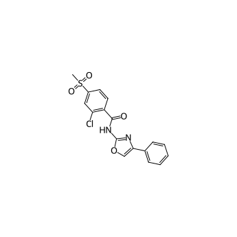 CS(=O)(=O)c1ccc(C(=O)Nc2nc(-c3ccccc3)co2)c(Cl)c1